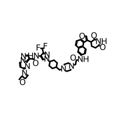 O=C1CCC(c2coc3ccc4cc(NC(=O)CN5CCN(CC6CCC(n7cc(NC(=O)c8cnn9ccc(N%10CC%11OCC%11%10)nc89)c(C(F)F)n7)CC6)CC5)ccc4c23)C(=O)N1